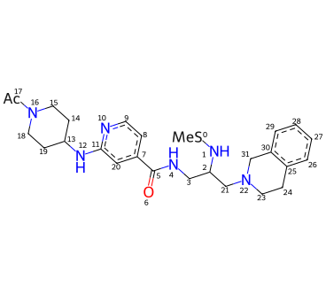 CSNC(CNC(=O)c1ccnc(NC2CCN(C(C)=O)CC2)c1)CN1CCc2ccccc2C1